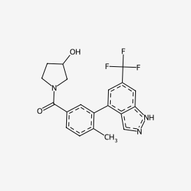 Cc1ccc(C(=O)N2CCC(O)C2)cc1-c1cc(C(F)(F)F)cc2[nH]ncc12